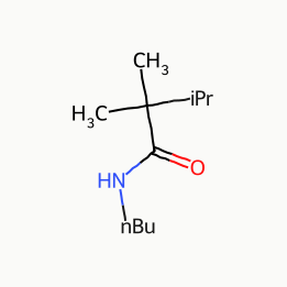 CCCCNC(=O)C(C)(C)C(C)C